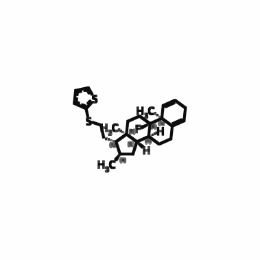 C[C@@H]1C[C@H]2[C@@H]3CCC4=CCC=C[C@]4(C)[C@@]3(F)CC[C@]2(C)[C@H]1CCSc1cccs1